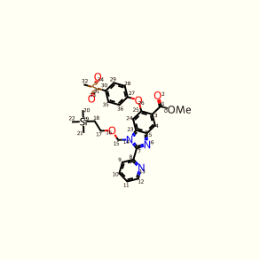 COC(=O)c1cc2nc(-c3ccccn3)n(COCC[Si](C)(C)C)c2cc1Oc1ccc(S(C)(=O)=O)cc1